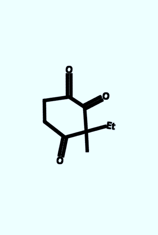 CCC1(C)C(=O)CCC(=O)C1=O